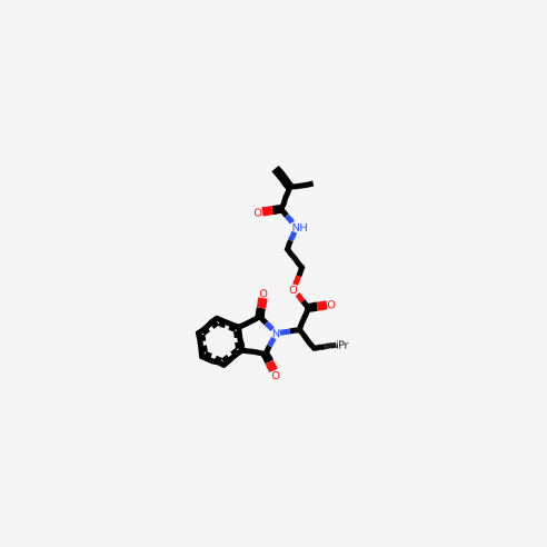 C=C(C)C(=O)NCCOC(=O)C(CC(C)C)N1C(=O)c2ccccc2C1=O